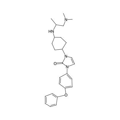 CC(CN(C)C)NC1CCC(n2ccn(-c3ccc(Oc4ccccc4)cc3)c2=O)CC1